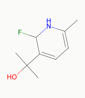 CC1=CC=C(C(C)(C)O)C(F)N1